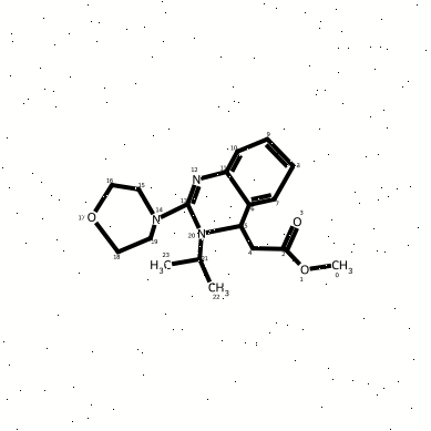 COC(=O)CC1c2ccccc2N=C(N2CCOCC2)N1C(C)C